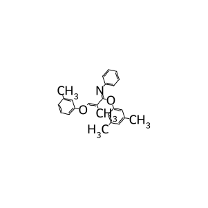 CC(=C\Oc1cccc(C)c1)/C(=N/c1ccccc1)Oc1cc(C)cc(C)c1